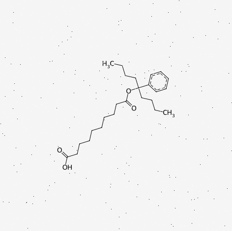 CCCCC(CCCC)(OC(=O)CCCCCCCCC(=O)O)c1ccccc1